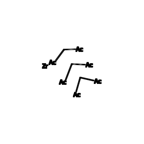 CC(=O)CC(C)=O.CC(=O)CC(C)=O.CC(=O)CC(C)=O.[Zr]